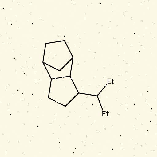 CC[C](CC)C1CCC2C3CCC(C3)C12